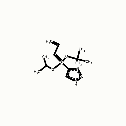 C=CC=P(OC(C)C)(OC(C)(C)C)c1c[nH]nn1